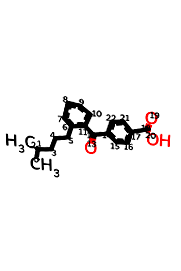 CC(C)CCCc1ccccc1C(=O)c1ccc(C(=O)O)cc1